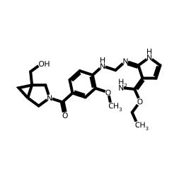 CCO/C(N)=C1\C=CN\C1=N\CNc1ccc(C(=O)N2CC3CC3(CO)C2)cc1OC